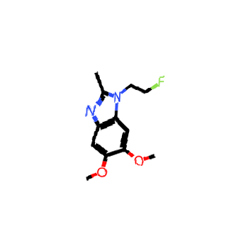 COc1cc2nc(C)n(CCF)c2cc1OC